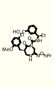 CCCO/N=C1\CN(C(=O)N[C@H](CC)c2cccc(C(=O)O)c2)C(=O)[C@H](Cc2cc(Cl)ccc2OC)CN1